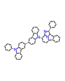 c1ccc(-c2nc3c(-n4c5ccccc5c5cc(-c6ccc7c(c6)c6ccccc6n7-c6ccccc6)ccc54)ccc4c5ccccc5c2n34)cc1